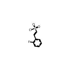 O=S(=O)(Cl)/C=C/c1ccccc1F